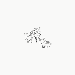 CC(=O)N[C@H]1CC(C(=O)NC(c2c(F)ccc(Cl)c2Cl)C23CCC(F)(CC2)C3)C[C@H]1N